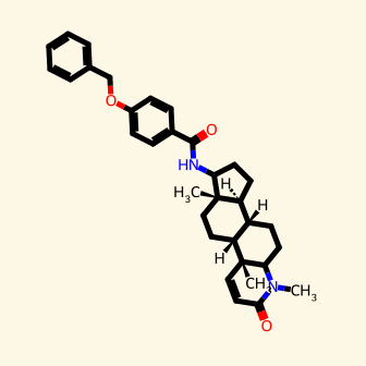 CN1C(=O)C=C[C@@]2(C)C1CC[C@@H]1[C@H]2CC[C@]2(C)C(NC(=O)c3ccc(OCc4ccccc4)cc3)CC[C@@H]12